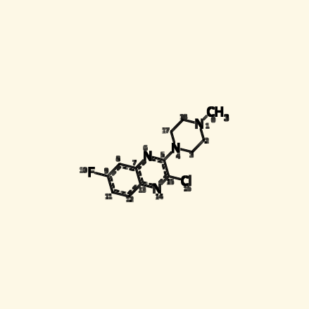 CN1CCN(c2nc3cc(F)ccc3nc2Cl)CC1